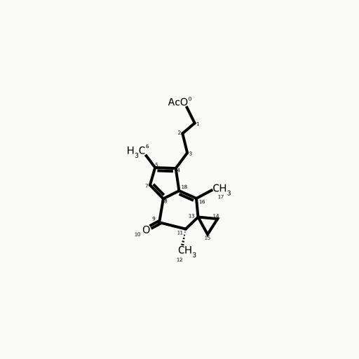 CC(=O)OCCCC1=C(C)C=C2C(=O)[C@@H](C)C3(CC3)C(C)=C21